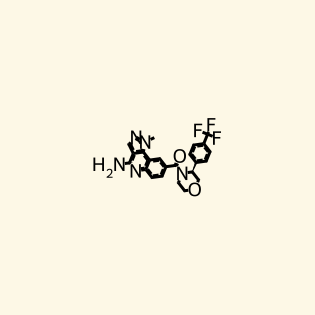 Cn1ncc2c(N)nc3ccc(C(=O)N4CCOC[C@@H]4c4ccc(C(F)(F)F)cc4)cc3c21